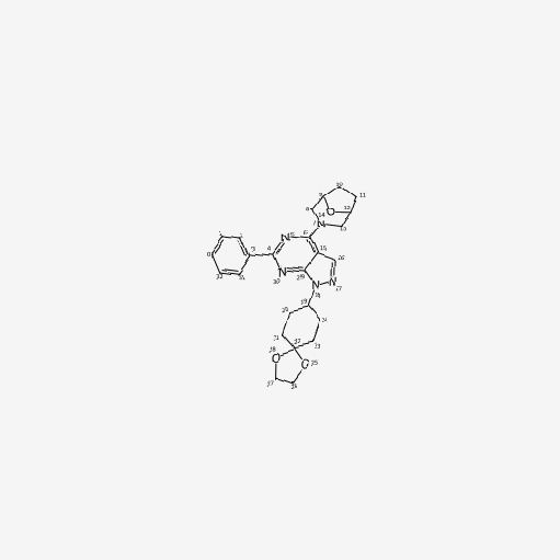 [c]1ccc(-c2nc(N3CC4CCC(C3)O4)c3cnn(C4CCC5(CC4)OCCO5)c3n2)cc1